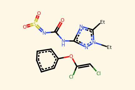 CCc1nc(NC(=O)N=S(=O)=O)nn1CC.ClC=C(Cl)Oc1ccccc1